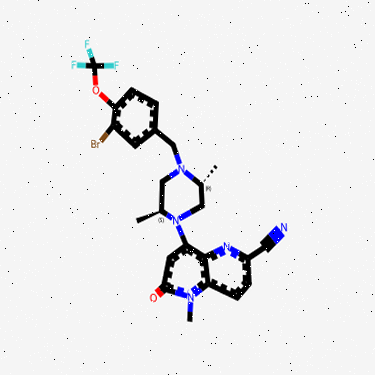 C[C@@H]1CN(c2cc(=O)n(C)c3ccc(C#N)nc23)[C@@H](C)CN1Cc1ccc(OC(F)(F)F)c(Br)c1